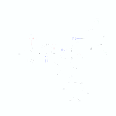 CC(C)(NC(=O)C1(NC(=O)Nc2cc(Cl)cc(Cl)c2)C=CC(c2ccccc2)C=C1)C(=O)O